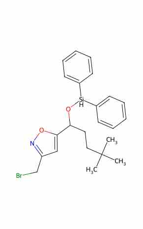 CC(C)(C)CCC(O[SiH](c1ccccc1)c1ccccc1)c1cc(CBr)no1